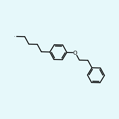 [CH2]CCCCc1ccc(OCCc2ccccc2)cc1